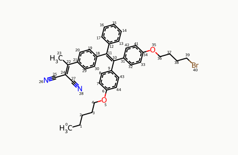 CCCCCOc1ccc(/C(=C(/c2ccccc2)c2ccc(C(C)=C(C#N)C#N)cc2)c2ccc(OCCCCBr)cc2)cc1